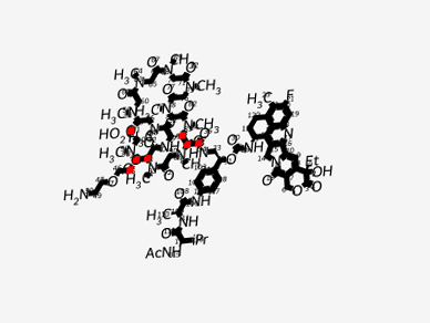 CC[C@@]1(O)C(=O)OCc2c1cc1n(c2=O)Cc2c-1nc1cc(F)c(C)c3c1c2[C@@H](NC(=O)O[C@H](CNC(=O)CC[C@H](NC(=O)COCCOCCN)C(=O)N(C)CC(=O)N(C)CC(=O)N(C)CC(=O)N(C)CC(=O)N(C)CC(=O)N(C)CC(=O)N(C)CC(=O)N(C)CC(=O)N(C)CC(=O)N(C)CC(=O)O)c1ccc(NC(=O)[C@H](C)NC(=O)[C@@H](NC(C)=O)C(C)C)cc1)CC3